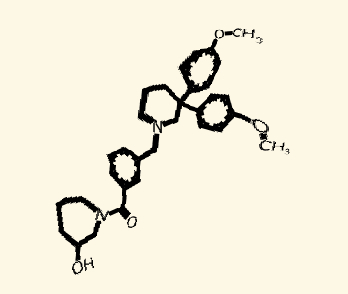 COc1ccc(C2(c3ccc(OC)cc3)CCCN(Cc3cccc(C(=O)N4CCCC(O)C4)c3)C2)cc1